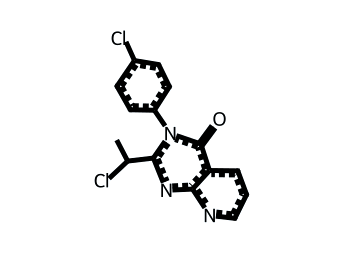 CC(Cl)c1nc2ncccc2c(=O)n1-c1ccc(Cl)cc1